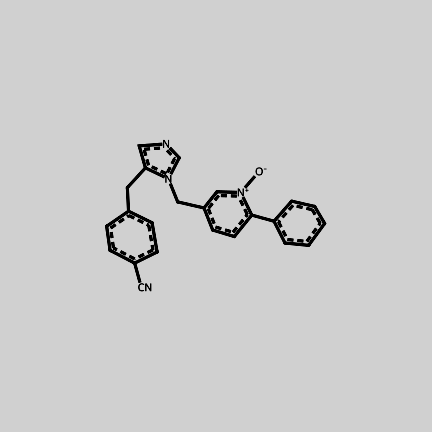 N#Cc1ccc(Cc2cncn2Cc2ccc(-c3ccccc3)[n+]([O-])c2)cc1